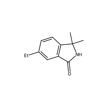 CCc1ccc2c(c1)C(=O)NC2(C)C